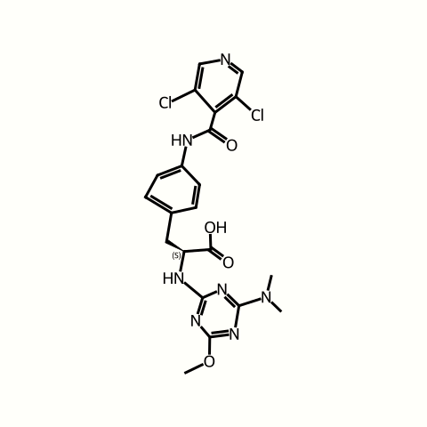 COc1nc(N[C@@H](Cc2ccc(NC(=O)c3c(Cl)cncc3Cl)cc2)C(=O)O)nc(N(C)C)n1